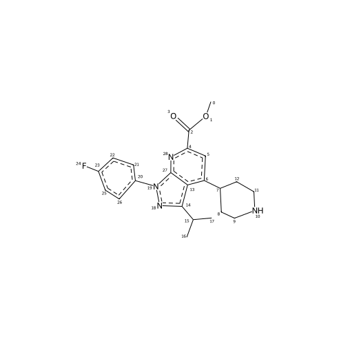 COC(=O)c1cc(C2CCNCC2)c2c(C(C)C)nn(-c3ccc(F)cc3)c2n1